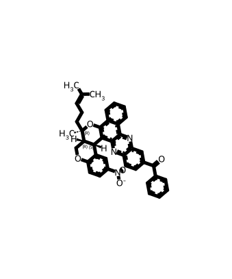 CC(C)=CCC[C@@]1(C)Oc2c(c3nc4ccc(C(=O)c5ccccc5)cc4nc3c3ccccc23)[C@@H]2c3cc([N+](=O)[O-])ccc3OC[C@@H]21